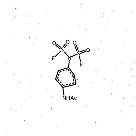 CC(=O)Nc1ccc(N(S(=O)(=O)F)S(=O)(=O)F)cc1